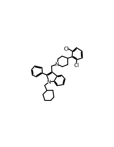 Clc1cccc(Cl)c1C1CCN(Cc2c(-c3ccccc3)n(CC3CCCCC3)c3ccccc23)CC1